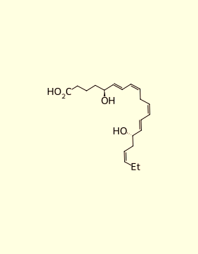 CC/C=C\C[C@H](O)/C=C/C=C\C/C=C\C=C\[C@@H](O)CCCC(=O)O